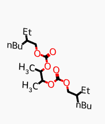 CCCCC(CC)COC(=O)OC(C)C(C)OC(=O)OCC(CC)CCCC